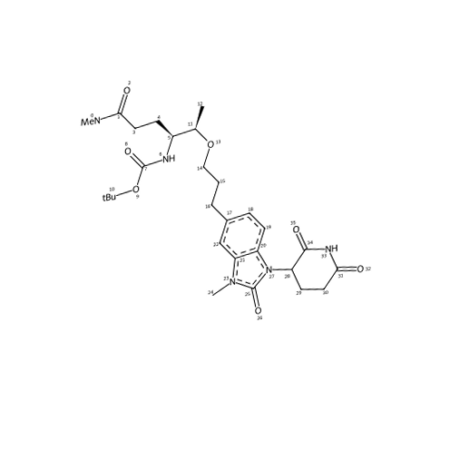 CNC(=O)CC[C@H](NC(=O)OC(C)(C)C)[C@@H](C)OCCCc1ccc2c(c1)n(C)c(=O)n2C1CCC(=O)NC1=O